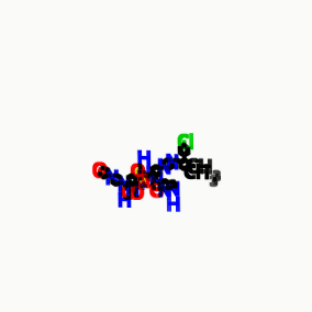 CC1(C)CCC(CN2CCN(c3ccc(C(=O)NS(=O)(=O)c4ccc(NC5CCN(C6CCOCC6)CC5)c([N+](=O)[O-])c4)c(N4CCOc5nc6[nH]ccc6cc54)c3)CC2)=C(c2ccc(Cl)cc2)C1